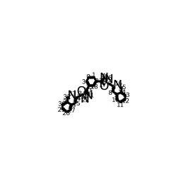 c1cc(-c2nnc(-c3cc4ccccc4cn3)o2)cc(-c2nnc(-c3cc4ccccc4cn3)o2)c1